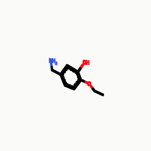 CCOc1ccc(CN)cc1O